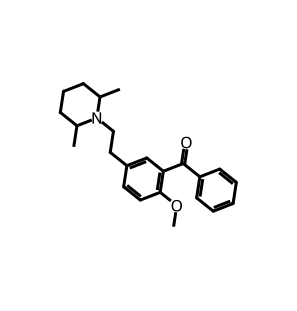 COc1ccc(CCN2C(C)CCCC2C)cc1C(=O)c1ccccc1